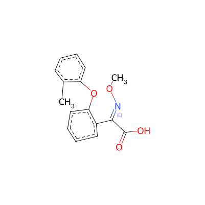 CO/N=C(/C(=O)O)c1ccccc1Oc1ccccc1C